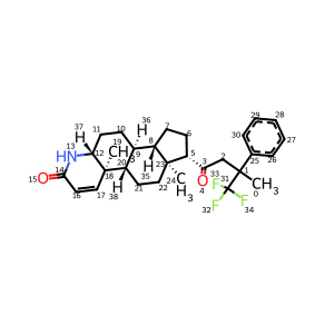 CC(CC(=O)[C@H]1CC[C@H]2[C@@H]3CC[C@H]4NC(=O)C=C[C@]4(C)[C@H]3CC[C@]12C)(c1ccccc1)C(F)(F)F